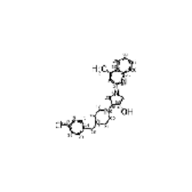 Cc1cc(N2C[C@H](O)[C@@H](N3CCN(Cc4ccc(Cl)cc4)CC3)C2)nc2ccccc12